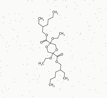 CCCCC(CC)COC(=O)C1(OCC)COC(OCC)(C(=O)OCC(CC)CCCC)CO1